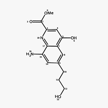 COC(=O)c1cc(O)c2cc(CCCO)cc(N)c2n1